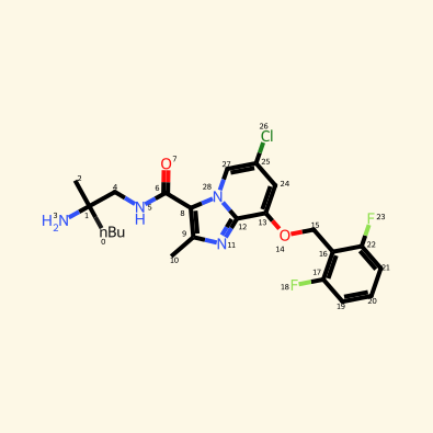 CCCCC(C)(N)CNC(=O)c1c(C)nc2c(OCc3c(F)cccc3F)cc(Cl)cn12